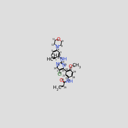 C#C/C(=C\C(=C/C)N1CCOCC1)Nc1ncc(Cl)c(-c2cc(NC(=O)C=C)ccc2OC)n1